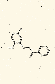 COc1ccc(Br)cc1OCC(=O)c1ccccc1